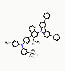 Cc1ccc(N(c2cccc([Si](C)(C)C)c2)c2ccc3c(c2)C(C)(C)c2cc(-n4c5ccc(-c6ccccc6)cc5c5cc(-c6ccccc6)ccc54)c4ccccc4c2-3)cc1